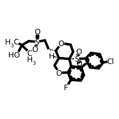 CC(C)(O)CS(=O)(=O)CC[C@@H]1OCC[C@@]2(S(=O)(=O)c3ccc(Cl)cc3)c3c(F)ccc(F)c3OC[C@@H]12